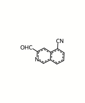 N#Cc1cccc2cnc(C=O)cc12